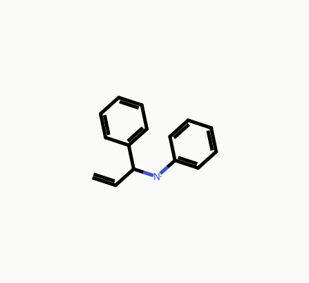 C=CC([N]c1ccccc1)c1ccccc1